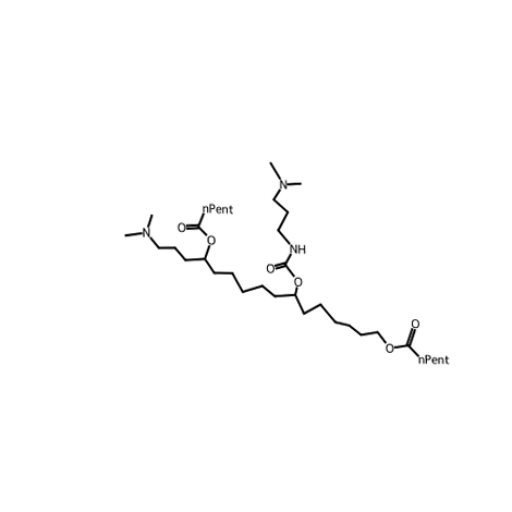 CCCCCC(=O)OCCCCCCC(CCCCCC(CCCN(C)C)OC(=O)CCCCC)OC(=O)NCCCN(C)C